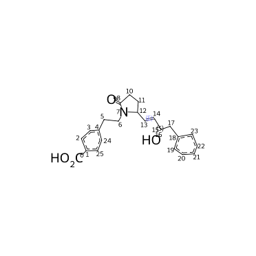 O=C(O)c1ccc(CCN2C(=O)CCC2/C=C/[C@@H](O)Cc2ccccc2)cc1